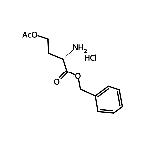 CC(=O)OCC[C@H](N)C(=O)OCc1ccccc1.Cl